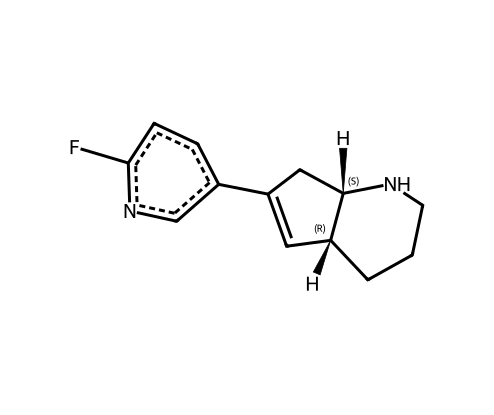 Fc1ccc(C2=C[C@H]3CCCN[C@H]3C2)cn1